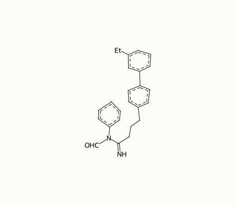 CCc1cccc(-c2ccc(CCCC(=N)N(C=O)c3ccccc3)cc2)c1